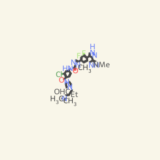 CCC(C=O)(CCN(C)C)CN1CCN(C(=O)c2ccc(NC(=O)c3ncc(-c4ccc(-c5c[nH]nc5/C(C=N)=C/NC)c(F)c4F)n3C)cc2Cl)CC1